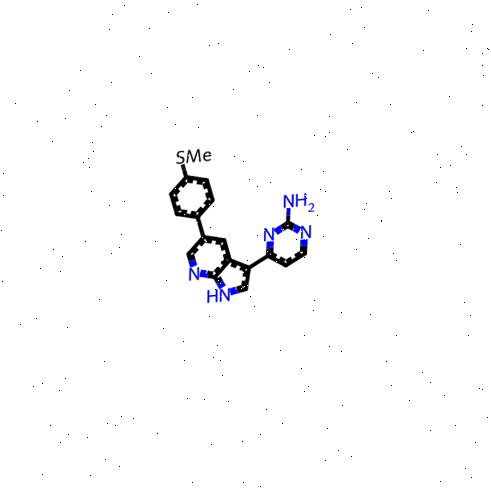 CSc1ccc(-c2cnc3[nH]cc(-c4ccnc(N)n4)c3c2)cc1